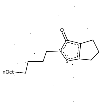 CCCCCCCCCCCCn1sc2c(c1=O)CCC2